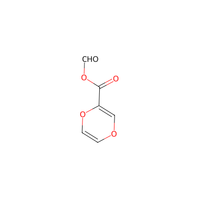 O=COC(=O)C1=COC=CO1